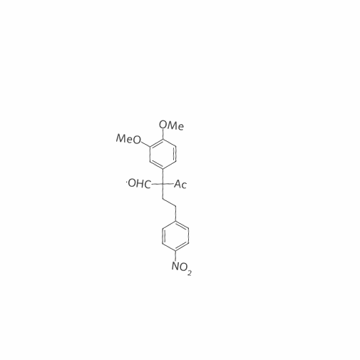 COc1ccc(C([C]=O)(CCc2ccc([N+](=O)[O-])cc2)C(C)=O)cc1OC